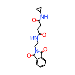 O=C(CCC(=O)NC1CC1)NCCN1C(=O)c2ccccc2C1=O